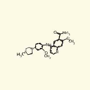 COc1cc(N2CCN(C)CC2)ccc1Nc1ccnc2cc(OC)c(C(N)=O)cc12